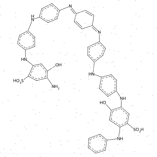 Nc1cc(S(=O)(=O)O)c(Nc2ccc(Nc3ccc(N=C4C=CC(=Nc5ccc(Nc6ccc(Nc7cc(S(=O)(=O)O)c(Nc8ccccc8)cc7O)cc6)cc5)C=C4)cc3)cc2)cc1O